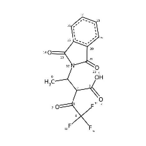 CC(C(C(=O)O)C(=O)C(F)(F)F)N1C(=O)c2ccccc2C1=O